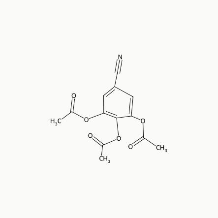 CC(=O)Oc1cc(C#N)cc(OC(C)=O)c1OC(C)=O